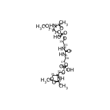 COC[C@@H](COP(=O)(O)OCCNC(=O)NCCOP(=O)(O)OC[C@H](COC)NC(C)=O)NC(C)=O